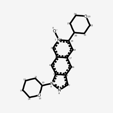 [O-][n+]1cc2cc3c(cnn3C3CCCCO3)cc2cc1C1CCOCC1